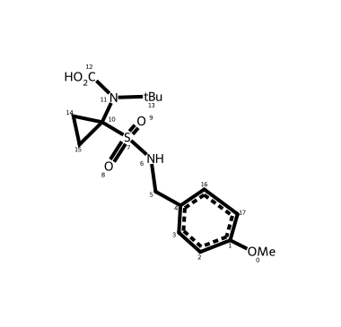 COc1ccc(CNS(=O)(=O)C2(N(C(=O)O)C(C)(C)C)CC2)cc1